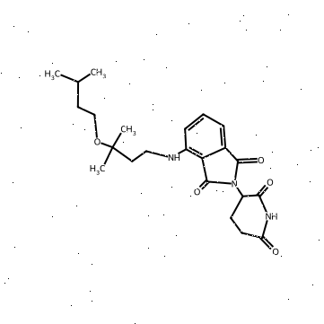 CC(C)CCOC(C)(C)CCNc1cccc2c1C(=O)N(C1CCC(=O)NC1=O)C2=O